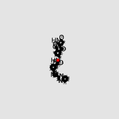 O=C1CCC(N2C(=O)c3ccc(CNC(=O)C(F)(F)c4cccc(-n5cc(-c6cnc7ccccc7n6)cn5)c4)cc3C2=O)C(=O)N1